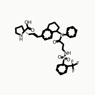 O=C(CCNS(=O)(=O)c1ccccc1C(F)(F)F)N(c1ccccc1)C1CCCc2cc(C=CC[C@@]3(C(=O)O)CCCN3)ccc21